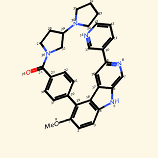 COc1ccc2[nH]c3cnc(-c4cccnc4)cc3c2c1-c1ccc(C(=O)N2CCC(N3CCCC3)C2)cc1